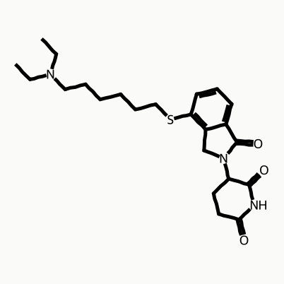 CCN(CC)CCCCCCSc1cccc2c1CN(C1CCC(=O)NC1=O)C2=O